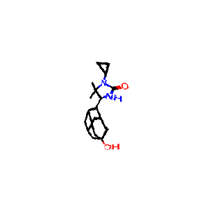 CC1(C)C(C2C3CC4CC2CC(O)(C4)C3)NC(=O)N1C1CC1